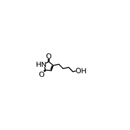 O=C1C=C(CCCCO)C(=O)N1